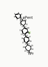 CCCCC[Si]1(c2ccccc2)CCC(c2ccc(-c3ccc(C4CCC(CCC)CC4)cc3)c(F)c2)CC1